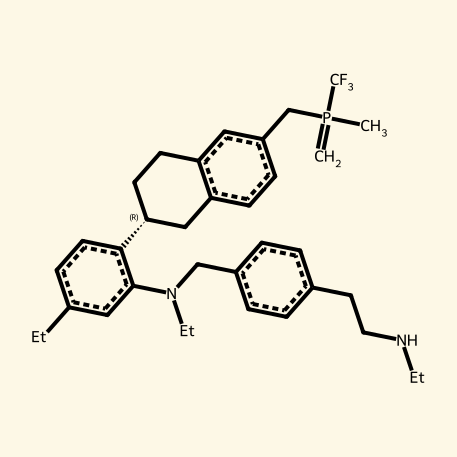 C=P(C)(Cc1ccc2c(c1)CC[C@@H](c1ccc(CC)cc1N(CC)Cc1ccc(CCNCC)cc1)C2)C(F)(F)F